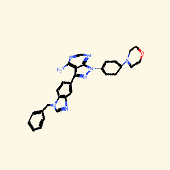 Nc1ncnc2c1c(-c1ccc3c(c1)ncn3Cc1ccccc1)nn2[C@H]1CC[C@H](N2CCOCC2)CC1